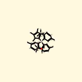 CC1=C(C)C(C)C([Si](c2cc(C)ccc2N(C)C)(c2cc(C)ccc2N(C)C)c2cc(C)ccc2N(C)C)=C1C